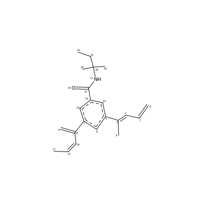 C=C/C=C(\C)c1cc(C(=C)/C=C\C)cc(C(=O)NC(C)(C)CC)c1